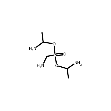 CC(N)OP(=O)(CN)OC(C)N